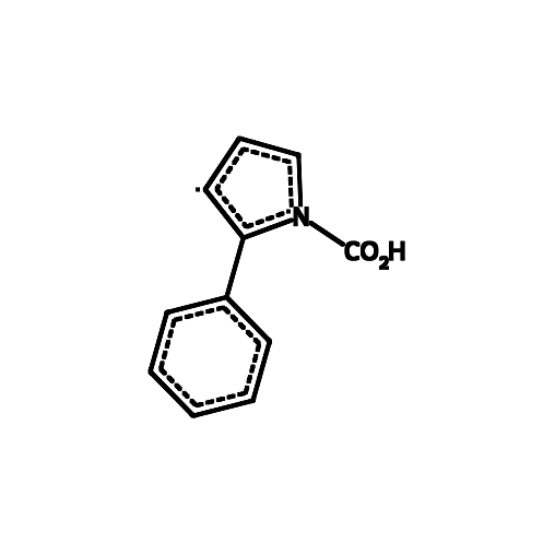 O=C(O)n1cc[c]c1-c1ccccc1